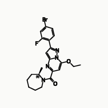 CCOc1cc(C(=O)N2CCCCC[C@H]2C)nc2cc(-c3ccc(Br)cc3F)nn12